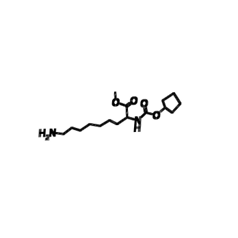 COC(=O)C(CCCCCCCN)NC(=O)OC1CCCC1